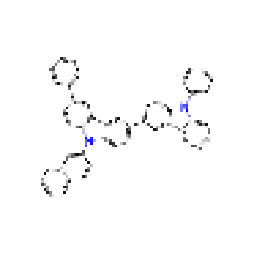 c1ccc(-c2ccc3c(c2)c2cc(-c4ccc5c(c4)c4ccccc4n5-c4ccccc4)ccc2n3-c2ccc3ccccc3c2)cc1